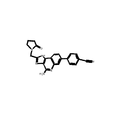 N#Cc1ccc(-c2ccc3c(c2)nc(N)c2nc(CN4CCCC4=O)[nH]c23)cc1